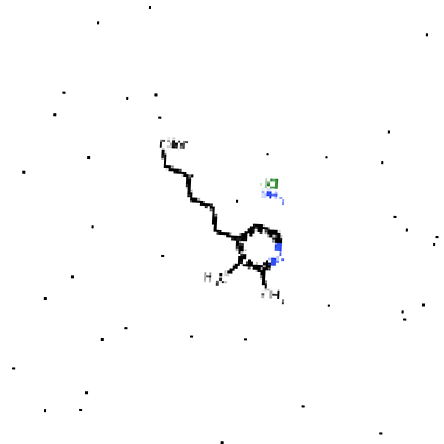 CCCCCCCCCCCCCCc1ccnc(C)c1C.Cl.N